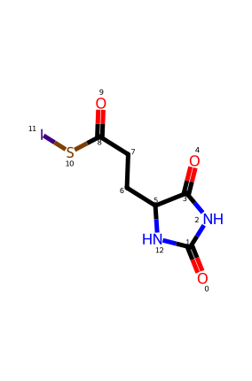 O=C1NC(=O)C(CCC(=O)SI)N1